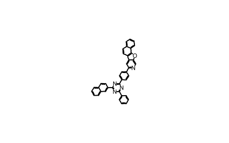 c1ccc(-c2nc(-c3ccc(-c4cc5c(cn4)oc4c6ccccc6ccc54)cc3)nc(-c3ccc4ccccc4c3)n2)cc1